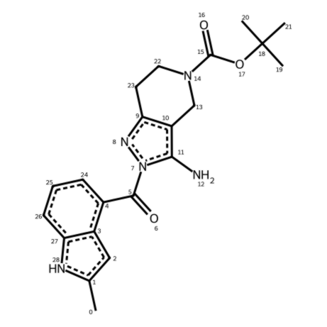 Cc1cc2c(C(=O)n3nc4c(c3N)CN(C(=O)OC(C)(C)C)CC4)cccc2[nH]1